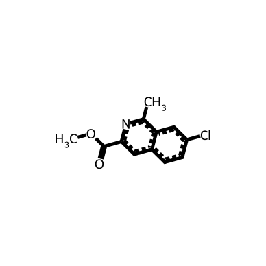 COC(=O)c1cc2ccc(Cl)cc2c(C)n1